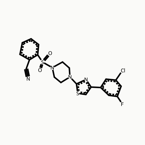 N#Cc1ccccc1S(=O)(=O)N1CCN(c2nc(-c3cc(F)cc(Cl)c3)cs2)CC1